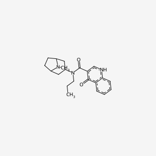 CCCN(C(=O)c1c[nH]c2ccccc2c1=O)C1CC2CCC(C1)N2C